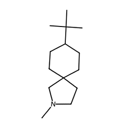 CN1CCC2(CCC(C(C)(C)C)CC2)C1